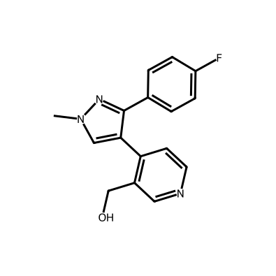 Cn1cc(-c2ccncc2CO)c(-c2ccc(F)cc2)n1